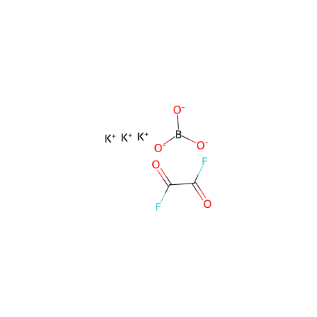 O=C(F)C(=O)F.[K+].[K+].[K+].[O-]B([O-])[O-]